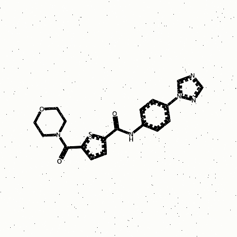 O=C(Nc1ccc(-n2cncn2)cc1)c1ccc(C(=O)N2CCOCC2)s1